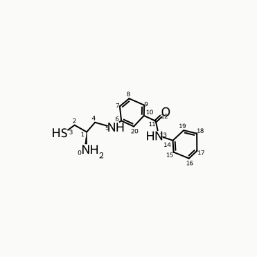 N[C@@H](CS)CNc1cccc(C(=O)Nc2ccccc2)c1